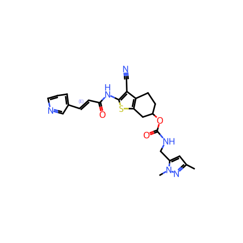 Cc1cc(CNC(=O)OC2CCc3c(sc(NC(=O)/C=C/c4cccnc4)c3C#N)C2)n(C)n1